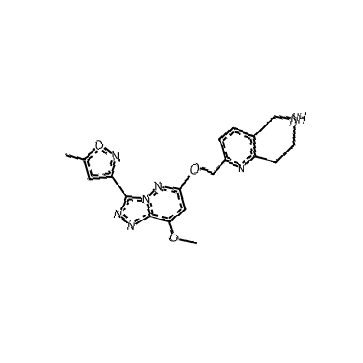 COc1cc(OCc2ccc3c(n2)CCNC3)nn2c(-c3cc(C)on3)nnc12